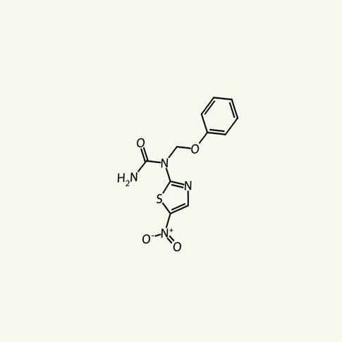 NC(=O)N(COc1ccccc1)c1ncc([N+](=O)[O-])s1